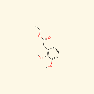 CCOC(=O)Cc1cccc(OC)c1OC